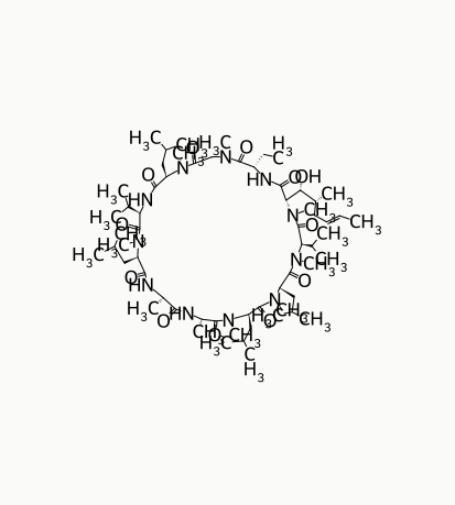 C/C=C/C[C@@H](C)[C@@H](O)[C@H]1C(=O)N[C@@H](CC)C(=O)N(C)CC(=O)N(C)[C@H](CC(C)C)C(=O)N[C@H](C(C)C)C(=O)N(C)[C@H](CC(C)C)C(=O)N[C@@H](C)C(=O)N[C@@H](C)C(=O)N(C)[C@H](CC(C)C)C(=O)N(C)[C@H](CC(C)C)C(=O)N(C)[C@H](C(C)C)C(=O)N1C